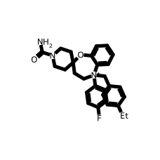 CCc1ccc(C[N+]2(c3ccc(F)cc3)CCC3(CCN(C(N)=O)CC3)Oc3ccccc32)cc1